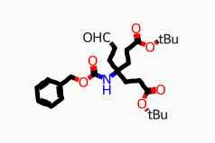 CC(C)(C)OC(=O)CCC(CCC=O)(CCC(=O)OC(C)(C)C)NC(=O)OCc1ccccc1